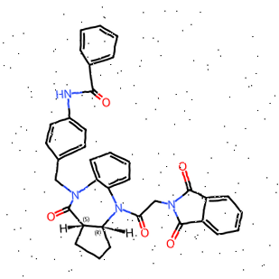 O=C(Nc1ccc(CN2C(=O)[C@H]3CCC[C@H]3N(C(=O)CN3C(=O)c4ccccc4C3=O)c3ccccc32)cc1)c1ccccc1